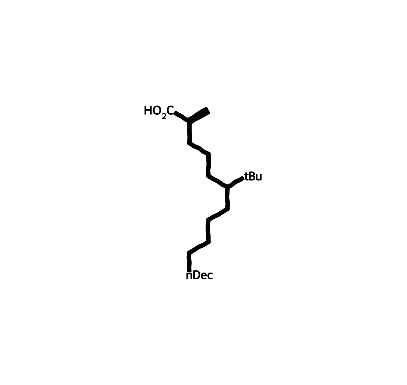 C=C(CCCC(CCCCCCCCCCCCCC)C(C)(C)C)C(=O)O